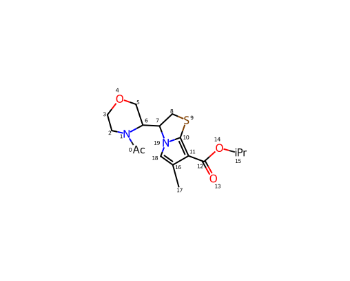 CC(=O)N1CCOCC1C1CSc2c(C(=O)OC(C)C)c(C)cn21